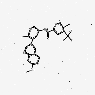 CNc1cc2ncc(-c3cc(NC(=O)c4cc(C(F)(F)F)c(C)cn4)cnc3C)cc2cn1